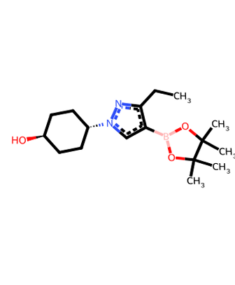 CCc1nn([C@H]2CC[C@H](O)CC2)cc1B1OC(C)(C)C(C)(C)O1